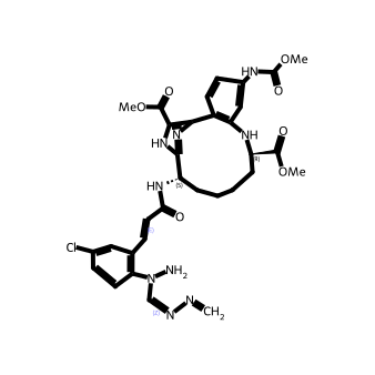 C=N/N=C\N(N)c1ccc(Cl)cc1/C=C/C(=O)N[C@H]1CCCC[C@H](C(=O)OC)Nc2cc(NC(=O)OC)ccc2-c2nc1[nH]c2C(=O)OC